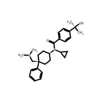 CN(C)C[C@]1(c2ccccc2)CC[C@H](N(C(=O)c2ccc([C@](C)(O)C(F)(F)F)cc2)C2CC2)CC1